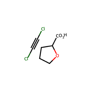 ClC#CCl.O=C(O)C1CCCO1